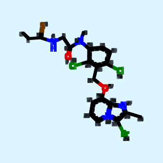 CCC(=S)NCC(=O)N(C)c1ccc(Cl)c(COc2cccn3c(Br)c(C)nc23)c1Cl